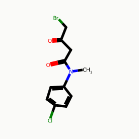 CN(C(=O)CC(=O)CBr)c1ccc(Cl)cc1